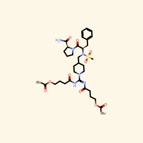 CC(C)(C)C(=O)OCCCC(=O)N=C(NC(=O)CCCOC(=O)C(C)(C)C)N1CCC(CN([C@H](Cc2ccccc2)C(=O)N2CCC[C@H]2C(N)=O)S(C)(=O)=O)CC1